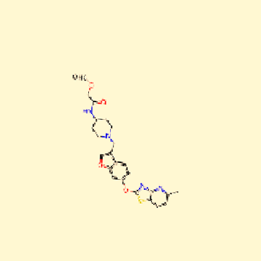 Cc1ccc2sc(Oc3ccc4c(CN5CCC(NC(=O)COC=O)CC5)coc4c3)nc2n1